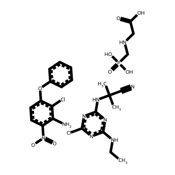 CCNc1nc(Cl)nc(NC(C)(C)C#N)n1.Nc1c([N+](=O)[O-])ccc(Oc2ccccc2)c1Cl.O=C(O)CNCP(=O)(O)O